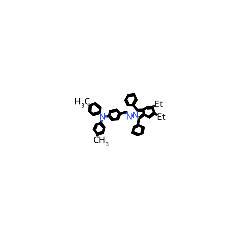 CCc1cc2c(-c3ccccc3)n(N=Cc3ccc(N(c4ccc(C)cc4)c4ccc(C)cc4)cc3)c(-c3ccccc3)c2cc1CC